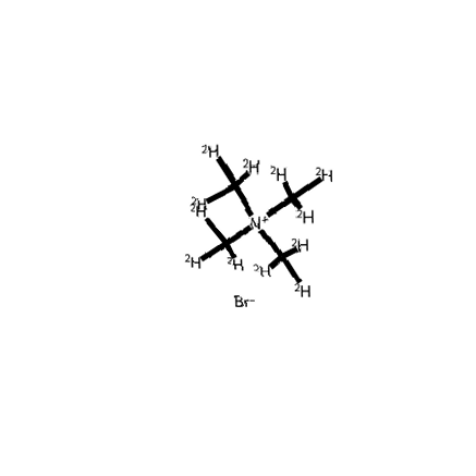 [2H]C([2H])([2H])[N+](C([2H])([2H])[2H])(C([2H])([2H])[2H])C([2H])([2H])[2H].[Br-]